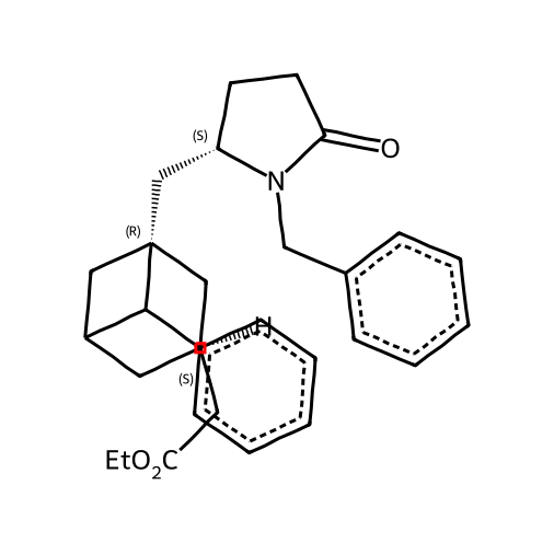 CCOC(=O)C[C@H]1CC2C[C@@](C[C@@H]3CCC(=O)N3Cc3ccccc3)(C1)C2c1ccccc1